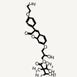 CC(C)C(C)(C(=O)OCC(O)COC1=CC2OC(=O)C(c3ccc(OCCO)cc3)=CC2C=C1)C(C)C